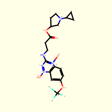 O=C(CCNc1n[n+](O)c2cc(OC(F)(F)F)ccc2[n+]1[O-])OC1CCN(C2CC2)C1